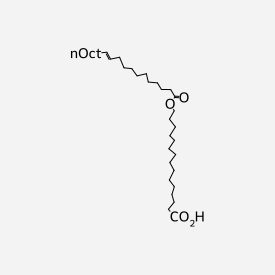 CCCCCCCCC=CCCCCCCCCCC(=O)OCCCCCCCCCCCCCCC(=O)O